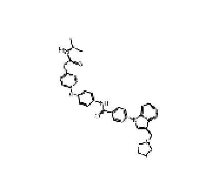 CC(C)NC(=O)Cc1ccc(Oc2ccc(NC(=O)c3ccc(-n4cc(CN5CCCC5)c5ccccc54)cc3)cc2)cc1